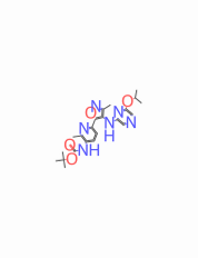 Cc1nc(-c2onc(C)c2Nc2cncc(OC(C)C)n2)ccc1NC(=O)OC(C)(C)C